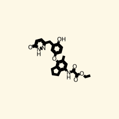 CCOC(=O)C(=O)Nc1cc(C)c(Oc2ccc(O)c(Cc3ccc(=O)[nH]n3)c2)c2c1CCC2